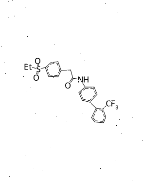 CCS(=O)(=O)c1ccc(CC(=O)Nc2ccc(-c3ccccc3C(F)(F)F)cc2)cc1